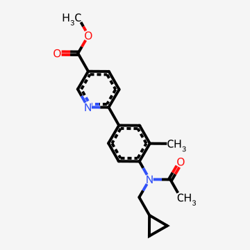 COC(=O)c1ccc(-c2ccc(N(CC3CC3)C(C)=O)c(C)c2)nc1